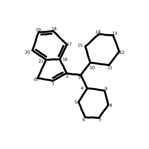 [CH]1C=C(C(C2CCCCC2)C2CCCCC2)c2ccccc21